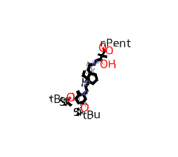 C=C1/C(=C\C=C2/CCC[C@]3(C)[C@@H]([C@H](C)/C=C/[C@@H](O)C(C)(C)C(=O)OCCCCC)CC[C@@H]23)C[C@@H](O[Si](C)(C)C(C)(C)C)C[C@@H]1O[Si](C)(C)C(C)(C)C